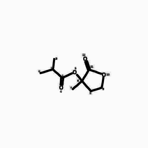 CC(C)C(=O)OC1(C)CCOC1=O